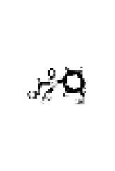 O=S(=O)(CC(F)(F)F)c1cccc(I)c1